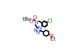 CCOC1CCC(c2nnc3n2-c2ccc(Cl)cc2CN(C(=O)OC(C)(C)C)C3)CC1